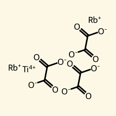 O=C([O-])C(=O)[O-].O=C([O-])C(=O)[O-].O=C([O-])C(=O)[O-].[Rb+].[Rb+].[Ti+4]